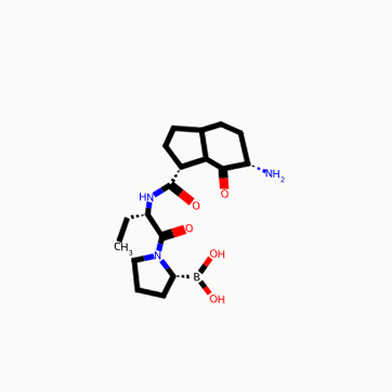 CC[C@H](NC(=O)[C@@H]1CCC2CC[C@H](N)C(=O)C21)C(=O)N1CCC[C@H]1B(O)O